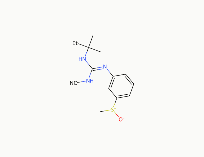 CCC(C)(C)N/C(=N/c1cccc([S+](C)[O-])c1)NC#N